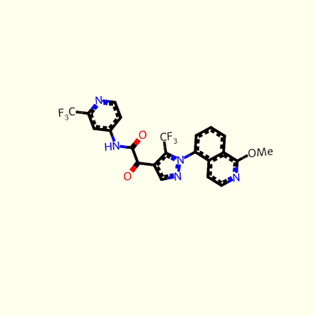 COc1nccc2c(-n3ncc(C(=O)C(=O)Nc4ccnc(C(F)(F)F)c4)c3C(F)(F)F)cccc12